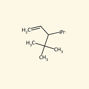 C=CC([C](C)C)C(C)(C)C